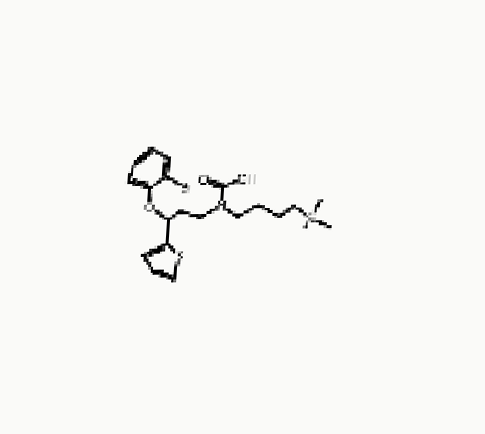 C[Si](C)(C)CCCCN(CCC(Oc1ccccc1Br)c1cccs1)C(=O)O